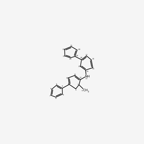 CC1CC(c2ccccc2)=CC=C1Nc1cccc(-c2ccccc2)c1